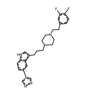 Fc1ccc(CCN2CCC(CCCc3c[nH]c4ccc(-n5cnnc5)cc34)CC2)cc1F